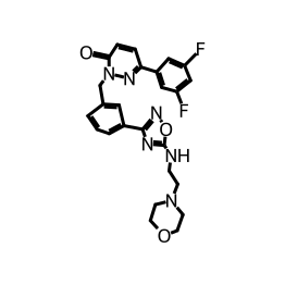 O=c1ccc(-c2cc(F)cc(F)c2)nn1Cc1cccc(-c2noc(NCCN3CCOCC3)n2)c1